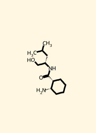 CC(C)C[C@@H](CO)NC(=O)[C@@H]1CCCC[C@@H]1N